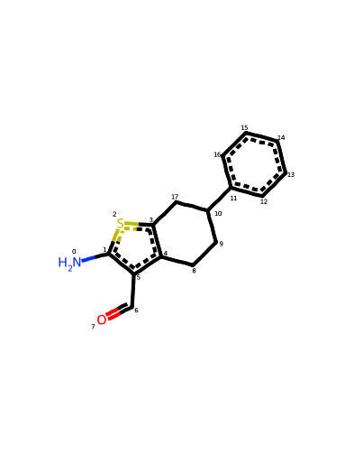 Nc1sc2c(c1C=O)CCC(c1ccccc1)C2